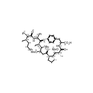 CC[C@H](C)[C@@H]([C@@H](CC(=O)N1CCC[C@H]1[C@H](OC)[C@@H](C)C(=O)NC(Cc1ccccc1)C(=O)O)OC)N(C)C(=O)[C@@H](NC(=O)[C@H](C(C)C)N(C)CCC(C)C)C(C)C